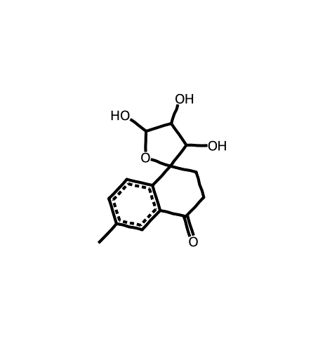 Cc1ccc2c(c1)C(=O)CCC21OC(O)C(O)C1O